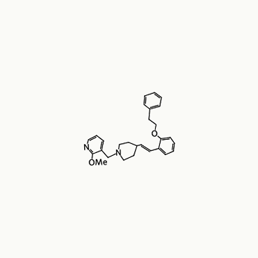 COc1ncccc1CN1CCC(C=Cc2ccccc2OCCc2ccccc2)CC1